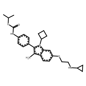 CC(C)OC(=O)Nc1ccc(-c2c(N)c3ccc(OCCNC4CC4)cc3n2C2CCC2)cc1